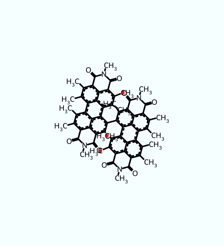 Cc1c2c3c(c(C)c(C)c4c5c(-c6c(C)c7c8c(c(C)c(C)c9c%10c(C)c(C)c%11c%12c(c(C)c(C)c(c6c89)c%12%10)C(=O)N(C)C%11=O)C(=O)N(C)C7=O)c(C)c6c7c(c(C)c(C)c(c(c1C)c34)c75)C(=O)N(C)C6=O)C(=O)N(C)C2=O